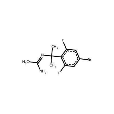 CC(N)=NC(C)(C)c1c(F)cc(Br)cc1F